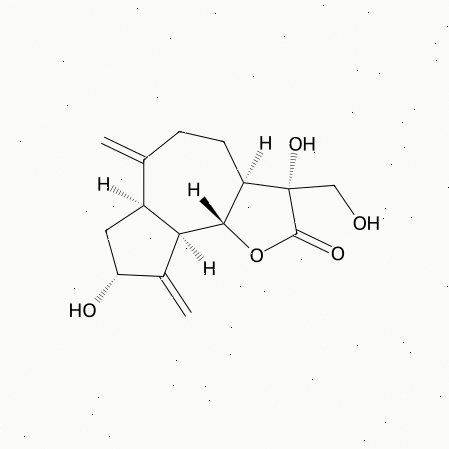 C=C1[C@@H]2[C@H]3OC(=O)[C@](O)(CO)[C@@H]3CCC(=C)[C@@H]2C[C@H]1O